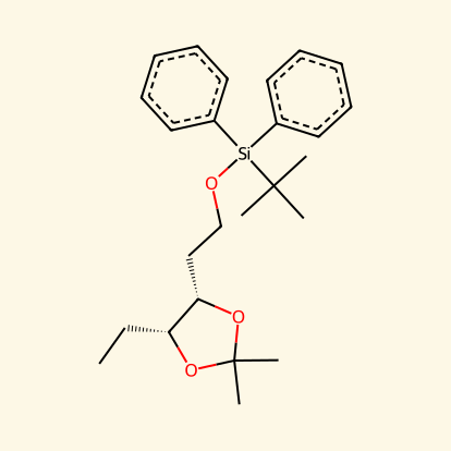 CC[C@H]1OC(C)(C)O[C@H]1CCO[Si](c1ccccc1)(c1ccccc1)C(C)(C)C